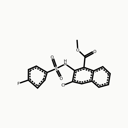 COC(=O)c1c(NS(=O)(=O)c2ccc(F)cc2)c(Cl)cc2ccccc12